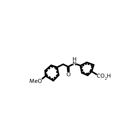 COc1ccc(CC(=O)Nc2ccc(C(=O)O)cc2)cc1